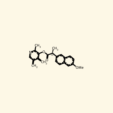 C=c1cnc(C)c(OC(=O)[C@@H](C)c2ccc3cc(OC)ccc3c2)c1=C